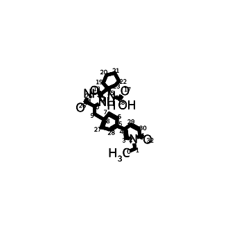 CCn1cc(-c2ccc(CC(NC(=O)C3(NC(=O)O)CCCCC3)C(N)=O)cc2)ccc1=O